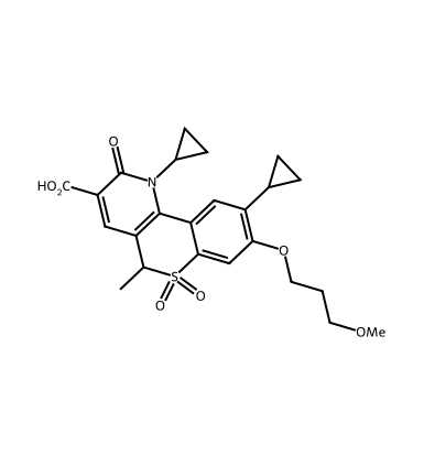 COCCCOc1cc2c(cc1C1CC1)-c1c(cc(C(=O)O)c(=O)n1C1CC1)C(C)S2(=O)=O